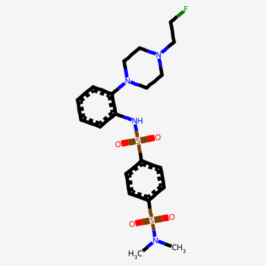 CN(C)S(=O)(=O)c1ccc(S(=O)(=O)Nc2ccccc2N2CCN(CCF)CC2)cc1